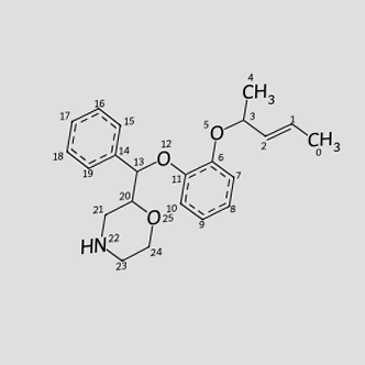 C/C=C/C(C)Oc1ccccc1OC(c1ccccc1)C1CNCCO1